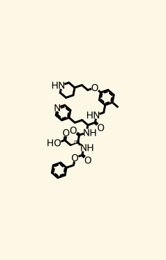 Cc1ccc(OCCC2CCCNC2)cc1CNC(=O)C(CCc1ccncc1)NC(=O)[C@H](CC(=O)O)NC(=O)OCc1ccccc1